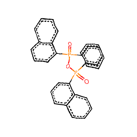 O=P(OP(=O)(c1ccccc1)c1cccc2ccccc12)(c1ccccc1)c1cccc2ccccc12